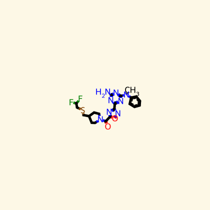 CN(c1ccccc1)c1nc(N)nc(-c2noc(C(=O)N3CCC(CSCC(F)F)CC3)n2)n1